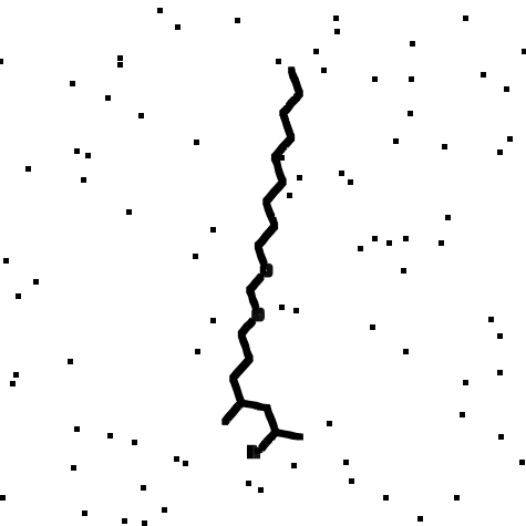 CCCCCCCCCOCOCCCC(C)CC(C)Br